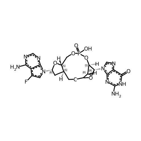 Nc1nc2c(ncn2[C@@H]2OC3CC[C@H]4C[C@H](n5cc(F)c6c(N)ncnc65)O[C@@H]4COP(=O)(O)O[C@@H]2[C@@H]3F)c(=O)[nH]1